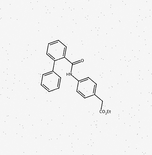 CCOC(=O)Cc1ccc(NC(=O)c2ccccc2-c2ccccc2)cc1